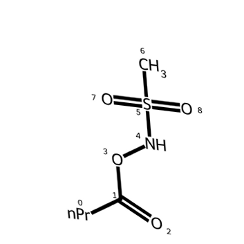 CCCC(=O)ONS(C)(=O)=O